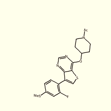 CSc1ccc(-c2csc3c(OC4CCN(C(C)=O)CC4)ncnc23)c(F)c1